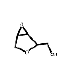 OCC1O[CH]C2OC21